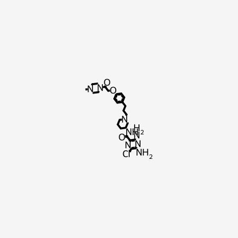 CN1CCN(C(=O)COc2ccc(CCCN3CCCC(NC(=O)c4nc(Cl)c(N)nc4N)C3)cc2)CC1